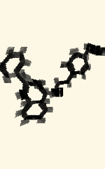 COc1ccc(CCNc2nc(-c3ccccc3)nc3ccccc23)cc1